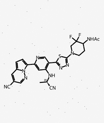 CC(=O)NC1CCN(c2nnc(-c3cnc(-c4ccc5cc(C#N)cnn45)cc3N[C@H](C)C#N)s2)CC1(F)F